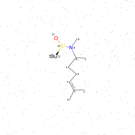 CC(C)=CCCC(C)N(C)[S@+]([O-])C(C)(C)C